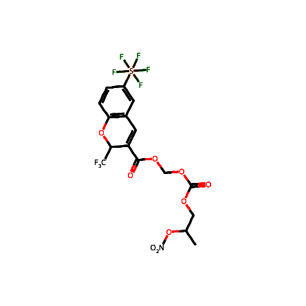 CC(COC(=O)OCOC(=O)C1=Cc2cc(S(F)(F)(F)(F)F)ccc2OC1C(F)(F)F)O[N+](=O)[O-]